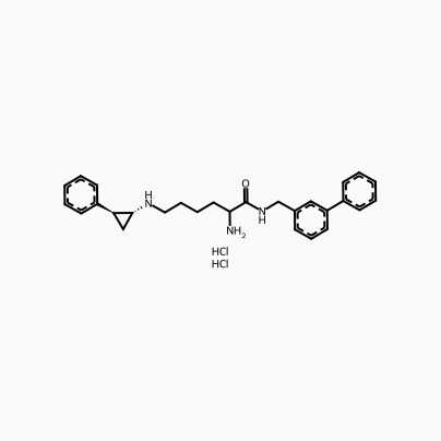 Cl.Cl.NC(CCCCN[C@@H]1C[C@H]1c1ccccc1)C(=O)NCc1cccc(-c2ccccc2)c1